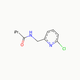 CC(C)C(=O)NCc1cccc(Cl)n1